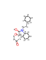 O=C1CCO[C@@]2(C1)C(=O)N(CCc1ccccc1)c1ccccc12